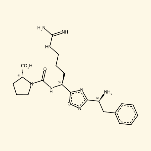 N=C(N)NCCC[C@H](NC(=O)N1CCC[C@@H]1C(=O)O)c1nc([C@@H](N)Cc2ccccc2)no1